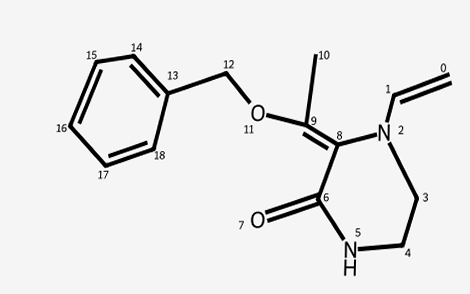 C=CN1CCNC(=O)/C1=C(/C)OCc1ccccc1